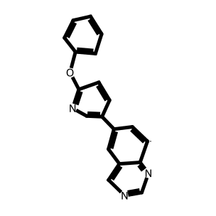 [c]1cc(-c2ccc(Oc3ccccc3)nc2)cc2cncnc12